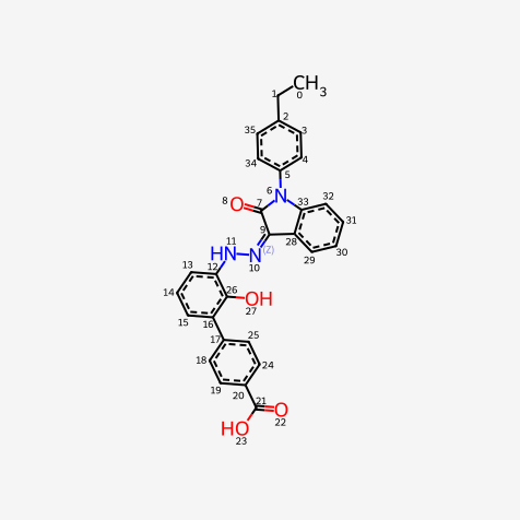 CCc1ccc(N2C(=O)/C(=N\Nc3cccc(-c4ccc(C(=O)O)cc4)c3O)c3ccccc32)cc1